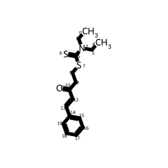 CCN(CC)C(=S)SCCC(=O)C=Cc1ccccc1